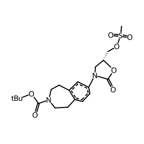 CC(C)(C)OC(=O)N1CCc2ccc(N3C[C@H](COS(C)(=O)=O)OC3=O)cc2CC1